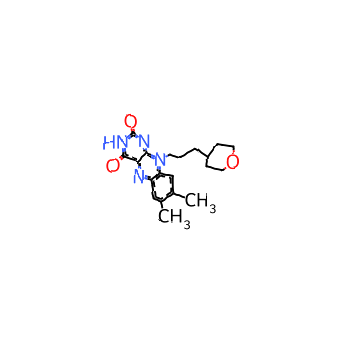 Cc1cc2nc3c(=O)[nH]c(=O)nc-3n(CCCC3CCOCC3)c2cc1C